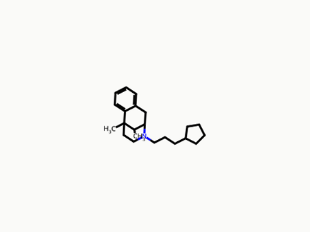 CC1C2Cc3ccccc3C1(C)CCN2CCCC1CCCC1